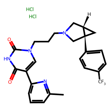 Cc1cccc(-c2cn(CCCN3C[C@@H]4C[C@]4(c4ccc(C(F)(F)F)cc4)C3)c(=O)[nH]c2=O)n1.Cl.Cl